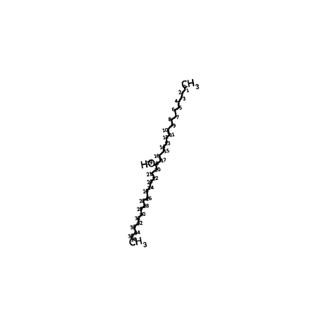 CCCCCCCCCCCCCCCCCCC(O)CCCCCCCCCCCCCCCCC